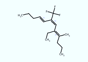 CCC/C=C/C(=C\C(CC)=C(/C)CCC)C(F)(F)F